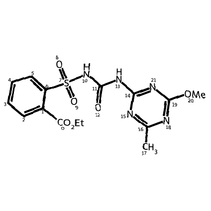 CCOC(=O)c1ccccc1S(=O)(=O)NC(=O)Nc1nc(C)nc(OC)n1